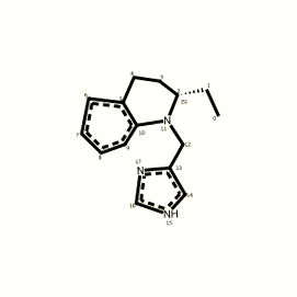 CC[C@H]1CCc2ccccc2N1Cc1c[nH]cn1